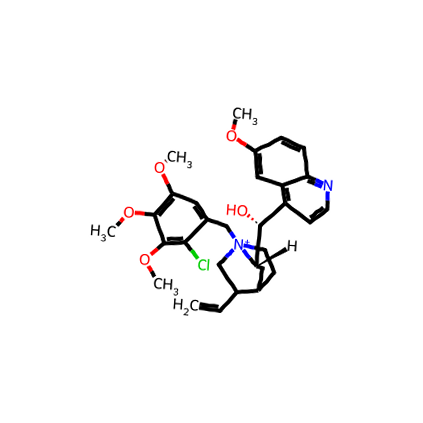 C=CC1C[N+]2(Cc3cc(OC)c(OC)c(OC)c3Cl)CCC1C[C@H]2[C@H](O)c1ccnc2ccc(OC)cc12